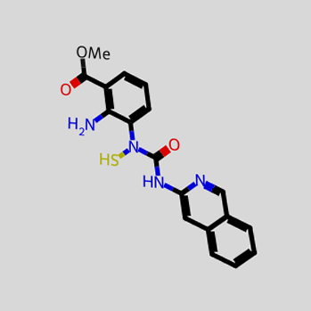 COC(=O)c1cccc(N(S)C(=O)Nc2cc3ccccc3cn2)c1N